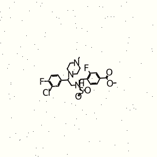 COC(=O)c1ccc(CN(CC(c2ccc(F)c(Cl)c2)N2CCN(C)CC2)[SH](=O)=O)c(F)c1